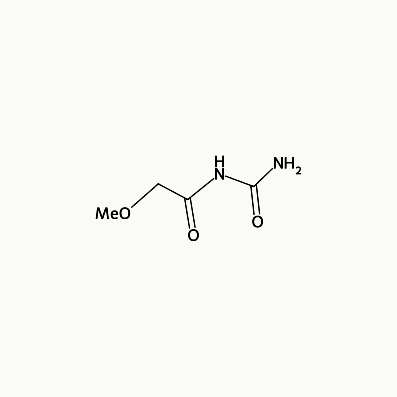 COCC(=O)NC(N)=O